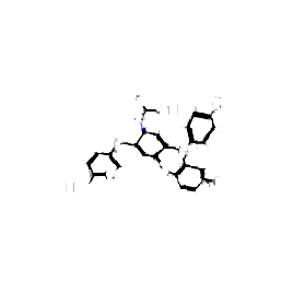 Cc1ccc(Nc2cc3nc4ccc(F)cc4n(-c4ccc(Cl)cc4)c-3c/c2=N\C(C)C)cn1